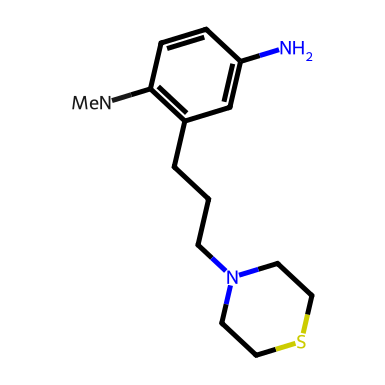 CNc1ccc(N)cc1CCCN1CCSCC1